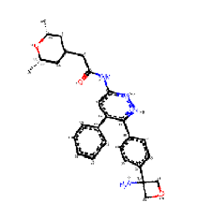 C[C@@H]1CC(CC(=O)Nc2cc(-c3ccccc3)c(-c3ccc(C4(N)COC4)cc3)nn2)C[C@H](C)O1